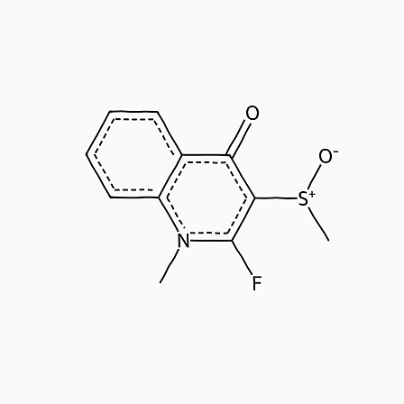 Cn1c(F)c([S+](C)[O-])c(=O)c2ccccc21